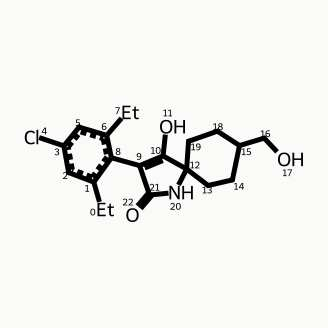 CCc1cc(Cl)cc(CC)c1C1=C(O)C2(CCC(CO)CC2)NC1=O